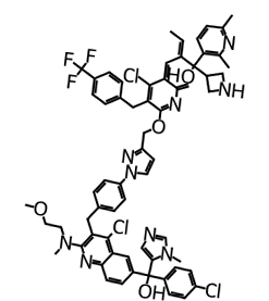 C=c1nc(OCc2ccn(-c3ccc(Cc4c(N(C)CCOC)nc5ccc(C(O)(c6ccc(Cl)cc6)c6cncn6C)cc5c4Cl)cc3)n2)c(Cc2ccc(C(F)(F)F)cc2)c(Cl)/c1=C/C(=C\C)C(O)(c1ccc(C)nc1C)C1CNC1